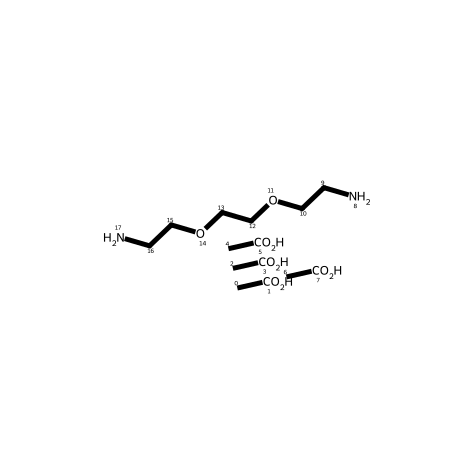 CC(=O)O.CC(=O)O.CC(=O)O.CC(=O)O.NCCOCCOCCN